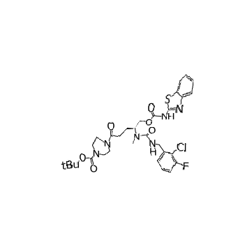 CN(C(=O)NCc1cccc(F)c1Cl)[C@@H](CCC(=O)N1CCN(C(=O)OC(C)(C)C)CC1)COC(=O)Nc1nc2ccccc2s1